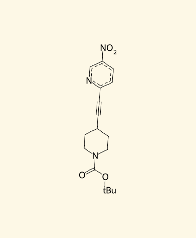 CC(C)(C)OC(=O)N1CCC(C#Cc2ccc([N+](=O)[O-])cn2)CC1